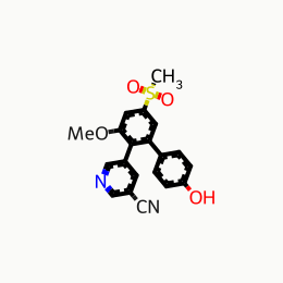 COc1cc(S(C)(=O)=O)cc(-c2ccc(O)cc2)c1-c1cncc(C#N)c1